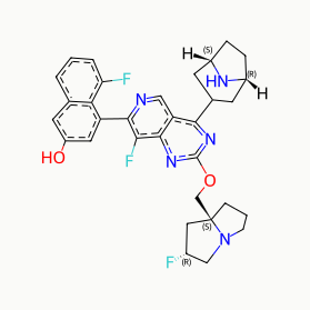 Oc1cc(-c2ncc3c(C4C[C@H]5CC[C@@H](C4)N5)nc(OC[C@@]45CCCN4C[C@H](F)C5)nc3c2F)c2c(F)cccc2c1